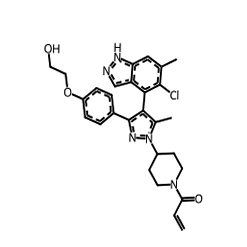 C=CC(=O)N1CCC(n2nc(-c3ccc(OCCO)cc3)c(-c3c(Cl)c(C)cc4[nH]ncc34)c2C)CC1